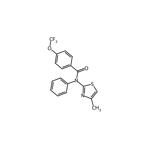 Cc1csc(N(C(=O)c2ccc(OC(F)(F)F)cc2)c2ccccc2)n1